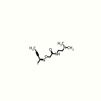 CC#C/C(I)=N\OCC(=O)NCCN(C)C